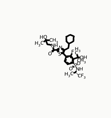 C[C@H](NS(=O)(=O)c1ccc(-c2sc(C(=O)NCC(C)(C)O)nc2CC2CCCCC2)c(F)c1C(C)(C)O)C(F)(F)F